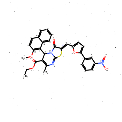 CCOC(=O)C1=C(C)N=c2s/c(=C\c3ccc(-c4cccc([N+](=O)O)c4)o3)c(=O)n2C1c1c(OC)ccc2ccccc12